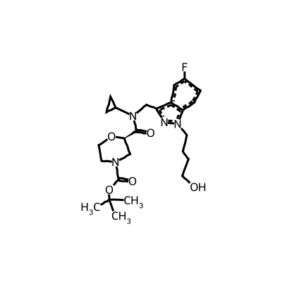 CC(C)(C)OC(=O)N1CCO[C@@H](C(=O)N(Cc2nn(CCCCO)c3ccc(F)cc23)C2CC2)C1